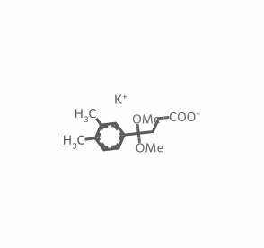 COC(CCC(=O)[O-])(OC)c1ccc(C)c(C)c1.[K+]